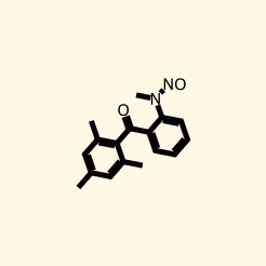 Cc1cc(C)c(C(=O)c2ccccc2N(C)N=O)c(C)c1